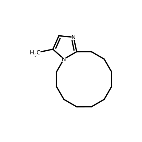 Cc1cnc2n1CCCCCCCCCC2